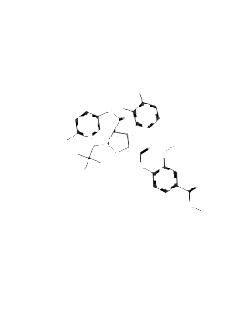 COC(=O)c1ccc(NC(=O)[C@@H]2N[C@@H](CC(C)(C)C)[C@@]3(C(=O)Nc4ccc(Cl)nc43)[C@H]2c2cccc(Cl)c2F)c(OC)c1